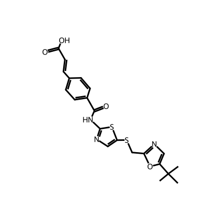 CC(C)(C)c1cnc(CSc2cnc(NC(=O)c3ccc(/C=C/C(=O)O)cc3)s2)o1